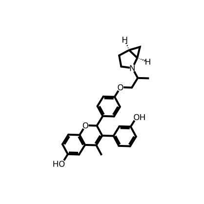 CC1=C(c2cccc(O)c2)C(c2ccc(OCC(C)N3CC[C@H]4C[C@H]43)cc2)Oc2ccc(O)cc21